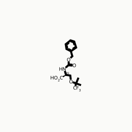 CC(C)(OC[C@H](NC(=O)OCc1ccccc1)C(=O)O)C(F)(F)F